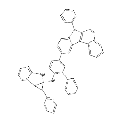 c1ccc(-c2cc(-c3ccc4c(c3)c3c5ccccc5ccc3n4-c3ccccc3)ccc2N[C@@]23Nc4ccccc4N2C3c2ccccc2)cc1